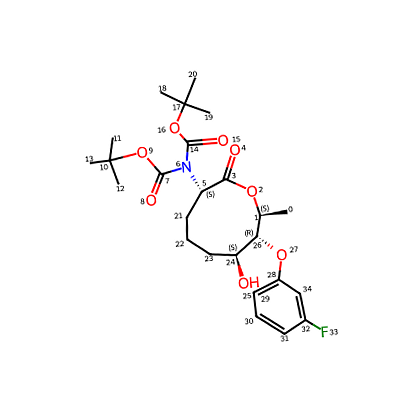 C[C@@H]1OC(=O)[C@@H](N(C(=O)OC(C)(C)C)C(=O)OC(C)(C)C)CCC[C@H](O)[C@H]1Oc1cccc(F)c1